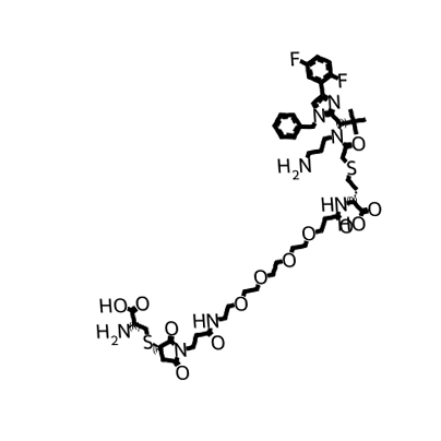 CC(C)(C)[C@H](c1nc(-c2cc(F)ccc2F)cn1Cc1ccccc1)N(CCCN)C(=O)CSCC[C@@H](NC(=O)CCOCCOCCOCCOCCNC(=O)CCN1C(=O)C[C@@H](SC[C@H](N)C(=O)O)C1=O)C(=O)O